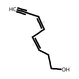 C#C/C=C\C=C/CCO